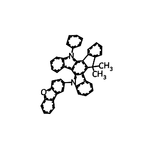 CC1(C)c2ccccc2-c2c1c1c3ccccc3n(-c3ccc4oc5ccccc5c4c3)c1c1c3ccccc3n(-c3ccccc3)c21